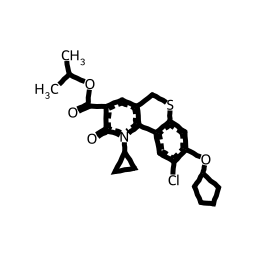 CC(C)OC(=O)c1cc2c(n(C3CC3)c1=O)-c1cc(Cl)c(OC3CCCC3)cc1SC2